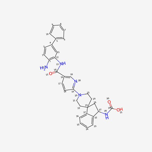 Nc1ccc(-c2ccccc2)cc1NC(=O)c1ccc(N2CCC3(CC2)CC(NC(=O)O)c2ccccc23)nc1